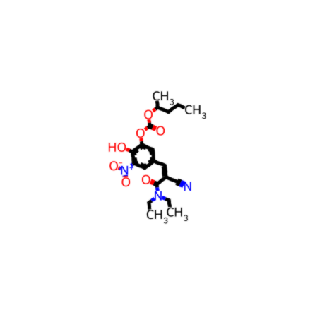 CCCC(C)OC(=O)Oc1cc(C=C(C#N)C(=O)N(CC)CC)cc([N+](=O)[O-])c1O